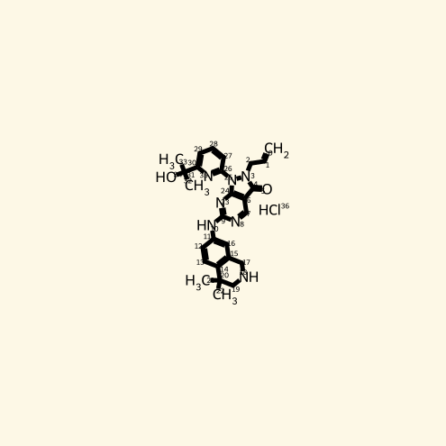 C=CCn1c(=O)c2cnc(Nc3ccc4c(c3)CNCC4(C)C)nc2n1-c1cccc(C(C)(C)O)n1.Cl